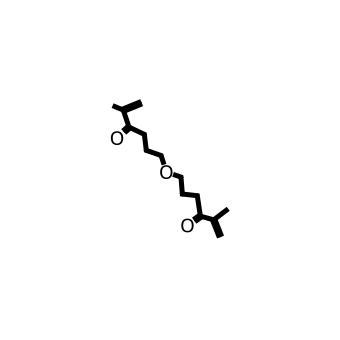 C=C(C)C(=O)CCCOCCCC(=O)C(=C)C